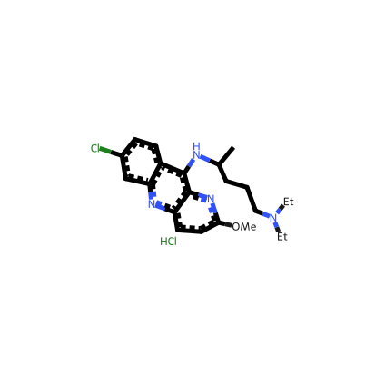 CCN(CC)CCCC(C)Nc1c2ccc(Cl)cc2nc2ccc(OC)nc12.Cl